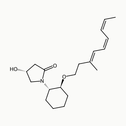 C\C=C/C=C\C=C(/C)CCO[C@H]1CCCC[C@@H]1N1C[C@H](O)CC1=O